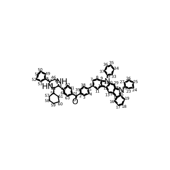 O=C(c1ccc(-c2ccc3c(c2)c2cc4c5ccccc5n(-c5ccccc5)c4cc2n3-c2ccccc2)cc1)c1ccc(C2NCC(c3ccccc3)NC2C2CCCCC2)cc1